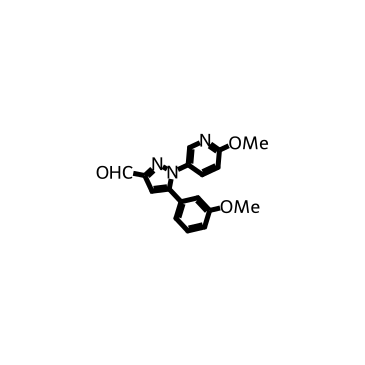 COc1cccc(-c2cc(C=O)nn2-c2ccc(OC)nc2)c1